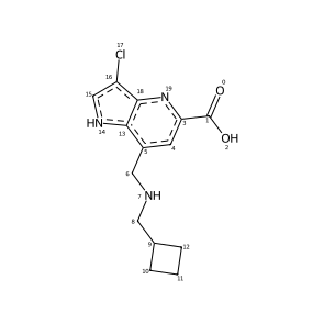 O=C(O)c1cc(CNCC2CCC2)c2[nH]cc(Cl)c2n1